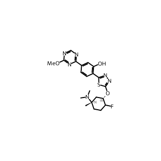 COc1ncnc(-c2ccc(-c3nnc(O[C@H]4C[C@@](C)(N(C)C)CCC4F)s3)c(O)c2)n1